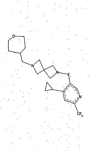 FC(F)(F)c1cc(C2CC2)c(SN2CC3(CN(CC4CCOCC4)C3)C2)cn1